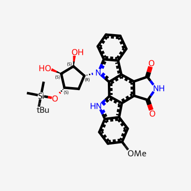 COc1ccc2[nH]c3c(c4c(c5c6ccccc6n([C@@H]6C[C@H](O[Si](C)(C)C(C)(C)C)[C@@H](O)[C@H]6O)c35)C(=O)NC4=O)c2c1